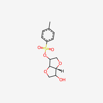 Cc1ccc(S(=O)(=O)OC2CO[C@@H]3C(O)COC23)cc1